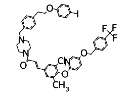 Cc1cc(C=CC(=O)N2CCN(Cc3ccc(CCOc4ccc(I)cc4)cc3)CC2)cc(Cl)c1Oc1ccc(OCc2ccc(C(F)(F)F)cc2)cn1